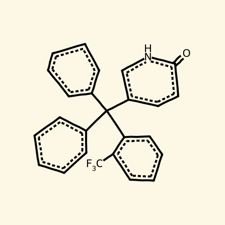 O=c1ccc(C(c2ccccc2)(c2ccccc2)c2ccccc2C(F)(F)F)c[nH]1